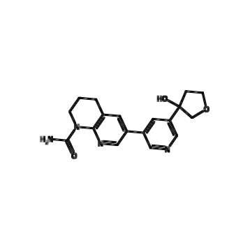 NC(=O)N1CCCc2cc(-c3cncc(C4(O)CCOC4)c3)cnc21